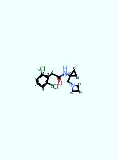 O=C(Cc1c(Cl)cccc1Cl)NC1(CN2CCC2)CC1